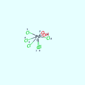 [O]=[Pd]([OH])([Cl])([Cl])([Cl])([Cl])([Cl])[Cl]